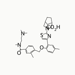 Cc1ccc(OCc2ccc(C(=O)N(C)CCN(C)C)cc2C)c(-c2csc(N3CC4CCC(C3)C4C(=O)O)n2)c1